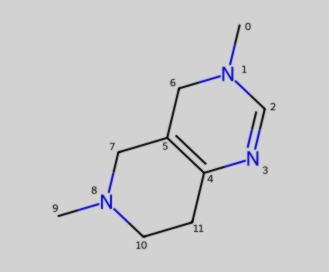 CN1C=NC2=C(C1)CN(C)CC2